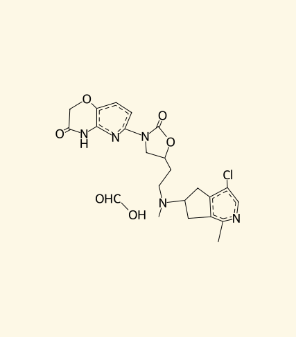 Cc1ncc(Cl)c2c1CC(N(C)CCC1CN(c3ccc4c(n3)NC(=O)CO4)C(=O)O1)C2.O=CO